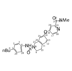 CCCCc1ccc(NC(=O)N2CCc3ccc(Oc4ccnc(C(=O)NC)c4)cc3C2)cc1